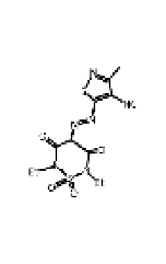 [C-]#[N+]c1c(C)nsc1N=NC1C(=O)N(CC)S(=O)(=O)N(CC)C1=O